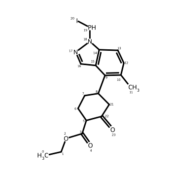 CCOC(=O)C1CCC(c2c(C)ccc3c2cnn3PI)CC1=O